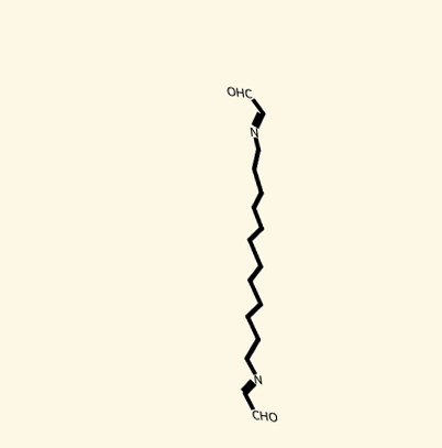 O=CC=NCCCCCCCCCCCCN=CC=O